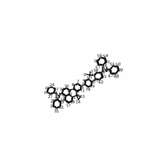 CC1(C)c2cc(-c3ccc4c(c3)C3(CC3)c3cccc5c(N(c6ccccc6)c6ccccc6)ccc-4c35)ccc2-c2ccc(N(c3ccccc3)c3ccccc3)cc21